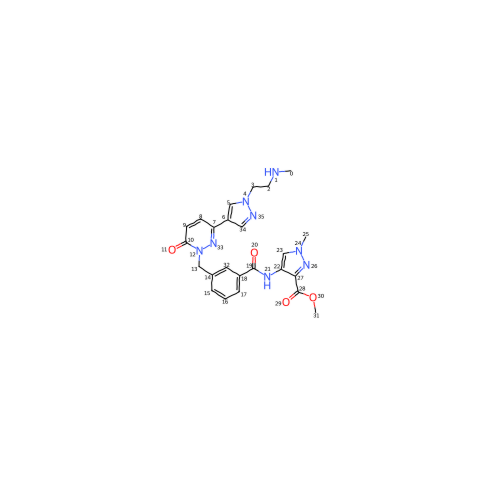 CNCCn1cc(-c2ccc(=O)n(Cc3cccc(C(=O)Nc4cn(C)nc4C(=O)OC)c3)n2)cn1